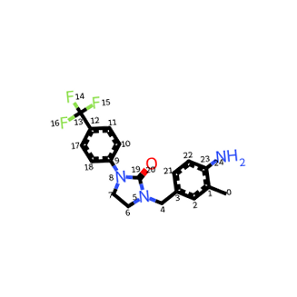 Cc1cc(CN2CCN(c3ccc(C(F)(F)F)cc3)C2=O)ccc1N